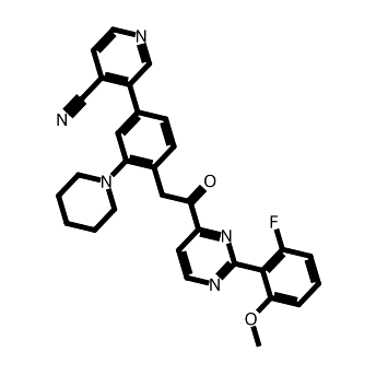 COc1cccc(F)c1-c1nccc(C(=O)Cc2ccc(-c3cnccc3C#N)cc2N2CCCCC2)n1